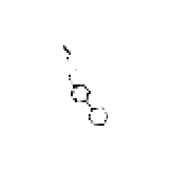 C=CCOCc1ccc(C2CCCCC2)cc1